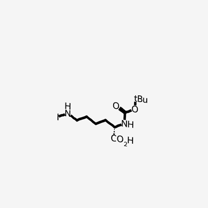 CC(C)(C)OC(=O)N[C@@H](CCCCNI)C(=O)O